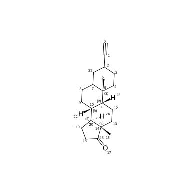 [C]#CC1CC[C@@]2(C)C(CC[C@@H]3[C@H]2CC[C@]2(C)C(=O)CC[C@@H]32)C1